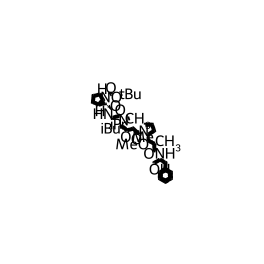 CCC(C)C(C(CC(=O)N1CCC[C@H]1C(OC)C(C)C(=O)NC(CO)Cc1ccccc1)OC)N(C)C(=O)C(NC(=O)[C@@H]1[C@H]2CC[C@H](C2)N1C(=O)OC(C)(C)C)C(C)C